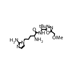 COCc1nnc([C@@H](NC(=O)[C@@H](N)CCCn2ccnc2N)C(C)(C)C)o1